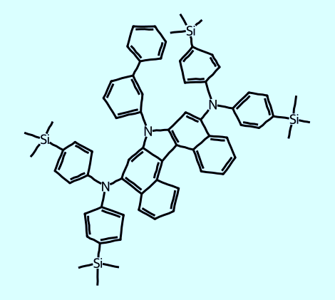 C[Si](C)(C)c1ccc(N(c2ccc([Si](C)(C)C)cc2)c2cc3c(c4ccccc24)c2c4ccccc4c(N(c4ccc([Si](C)(C)C)cc4)c4ccc([Si](C)(C)C)cc4)cc2n3-c2cccc(-c3ccccc3)c2)cc1